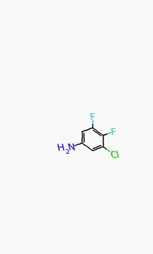 Nc1cc(F)c(F)c(Cl)c1